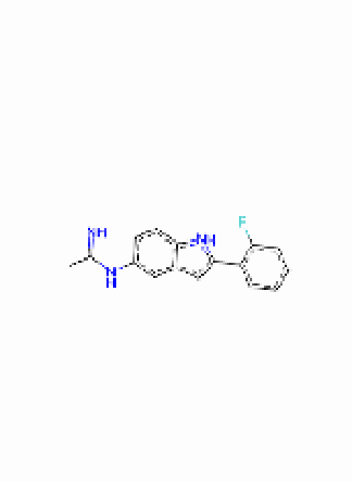 CC(=N)Nc1ccc2[nH]c(-c3ccccc3F)cc2c1